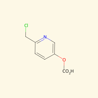 O=C(O)Oc1ccc(CCl)nc1